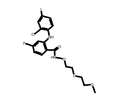 COCCOCCONC(=O)c1ccc(F)cc1Nc1ccc(I)cc1Cl